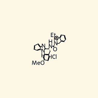 CCOc1ccccc1CNC(=O)N[C@H](Cc1ccc(OC)cc1)c1nc2ccccc2[nH]1.Cl